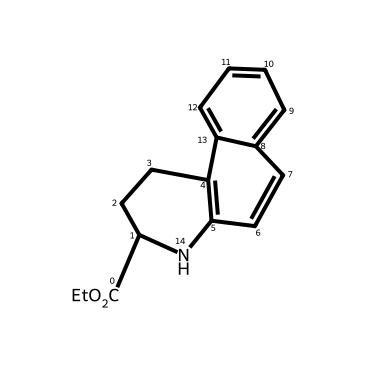 CCOC(=O)C1CCc2c(ccc3ccccc23)N1